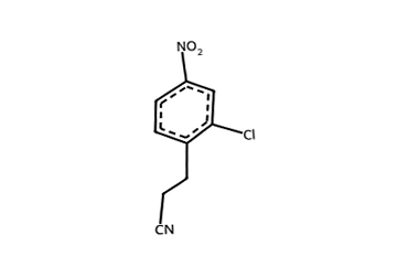 N#CCCc1ccc([N+](=O)[O-])cc1Cl